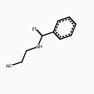 CCC(NCCC#N)c1ccccc1